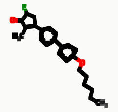 CCCCCCOc1ccc(-c2ccc(C3=C(C)C(=O)C(F)C3)cc2)cc1